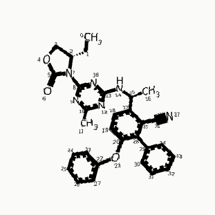 CC[C@H]1COC(=O)N1c1nc(C)nc(N[C@@H](C)c2ccc(Oc3ccccc3)c(-c3ccccc3)c2C#N)n1